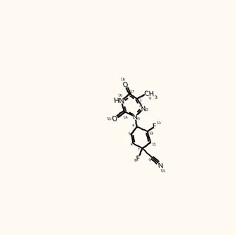 Cc1nn(C2C=CC(F)(C#N)C=C2F)c(=O)[nH]c1=O